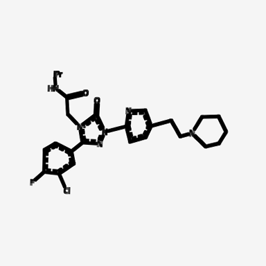 CC(C)NC(=O)Cn1c(-c2ccc(F)c(Cl)c2)nn(-c2ccc(CCN3CCCCC3)cn2)c1=O